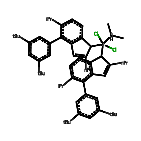 CCCC1=Cc2c(ccc(C(C)C)c2-c2cc(C(C)(C)C)cc(C(C)(C)C)c2)[CH]1[Zr]([Cl])([Cl])([CH]1C(CCC)=Cc2c1ccc(C(C)C)c2-c1cc(C(C)(C)C)cc(C(C)(C)C)c1)[SiH](C)C